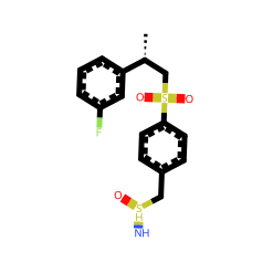 C[C@H](CS(=O)(=O)c1ccc(C[SH](=N)=O)cc1)c1cccc(F)c1